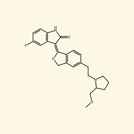 COCC1CCCN1CCc1ccc2c(c1)CO/C2=C1/C(=O)Nc2ccc(F)cc21